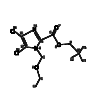 CCOCn1c(C(=O)OCC(C)(C)C)nc(Cl)c1Cl